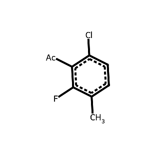 CC(=O)c1c(Cl)ccc(C)c1F